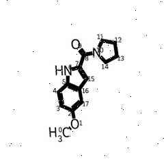 COc1ccc2[nH]c(C(=O)N3CCCC3)cc2c1